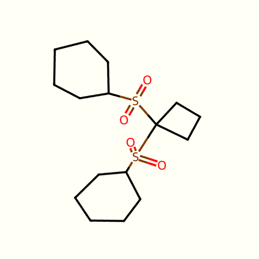 O=S(=O)(C1CCCCC1)C1(S(=O)(=O)C2CCCCC2)CCC1